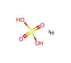 O=S(=O)(O)O.[3H]